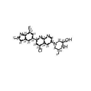 C[C@H]1CN(c2cnc3nc(-c4cc(F)c5nn(C)cc5c4)cc(Cl)c3c2)C[C@@H](O)N1